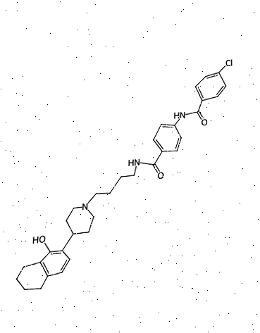 O=C(NCCCCN1CCC(c2ccc3c(c2O)CCCC3)CC1)c1ccc(NC(=O)c2ccc(Cl)cc2)cc1